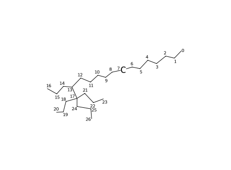 CCCCCCCCCCCCCC(CCC)C(CCC)(CCC)CCC